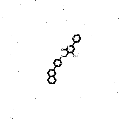 O=c1oc(-c2ccccc2)cc(O)c1CSc1ccc(-c2ccc3ccccc3c2)cc1